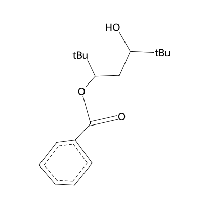 CC(C)(C)C(O)CC(OC(=O)c1ccccc1)C(C)(C)C